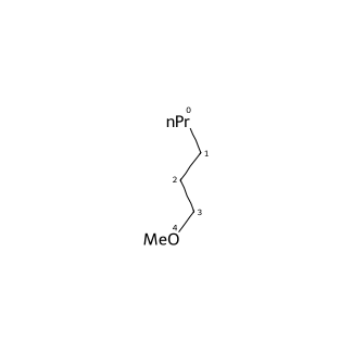 [CH2]CCCCCOC